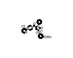 COc1cccc(S(=O)(=O)N2C[C@@H](C(=O)N3CCN(c4ncccc4C(F)(F)F)CC3)N(c3ccccc3)C2=O)c1